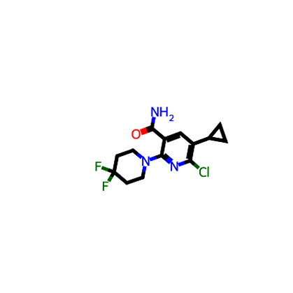 NC(=O)c1cc(C2CC2)c(Cl)nc1N1CCC(F)(F)CC1